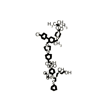 CN(CCO)CC[C@H](CSc1ccccc1)Nc1ccc(S(=O)(=O)NC(=O)c2ccc(N3CCN(CC4=C(c5ccc(Cl)cc5)CC[C@@](C)(CN5CCN(C(=O)OC(C)(C)C)CC5)C4)CC3)cc2)cc1[N+](=O)[O-]